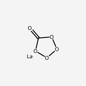 O=C1OOOO1.[La]